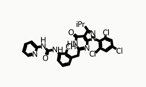 Cc1c(Cc2nc3c(c(C(C)C)nn3-c3c(Cl)cc(Cl)cc3Cl)c(=O)[nH]2)cccc1NC(=O)Nc1ccccn1